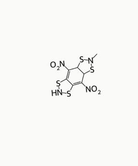 CN1SC2C([N+](=O)[O-])=C3SNSC3=C([N+](=O)[O-])C2S1